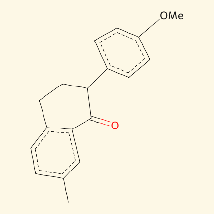 COc1ccc(C2CCc3ccc(C)cc3C2=O)cc1